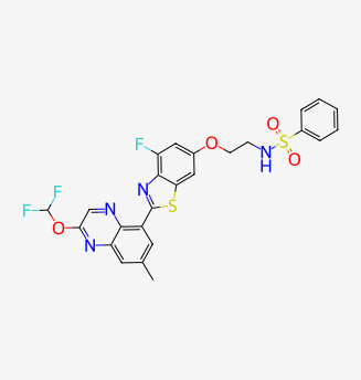 Cc1cc(-c2nc3c(F)cc(OCCNS(=O)(=O)c4ccccc4)cc3s2)c2ncc(OC(F)F)nc2c1